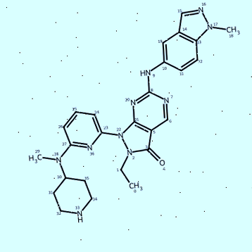 CCn1c(=O)c2cnc(Nc3ccc4c(cnn4C)c3)nc2n1-c1cccc(N(C)C2CCNCC2)n1